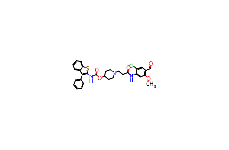 COc1cc(NC(=O)CCN2CCC(OC(=O)Nc3sc4ccccc4c3-c3ccccc3)CC2)c(Cl)cc1C=O